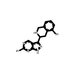 CC(C)c1ncc2c(C3Cc4c(cccc4C(C)C)CN3)n[nH]c2n1